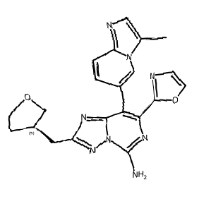 Cc1cnc2ccc(-c3c(-c4ncco4)nc(N)n4nc(C[C@H]5CCOC5)nc34)cn12